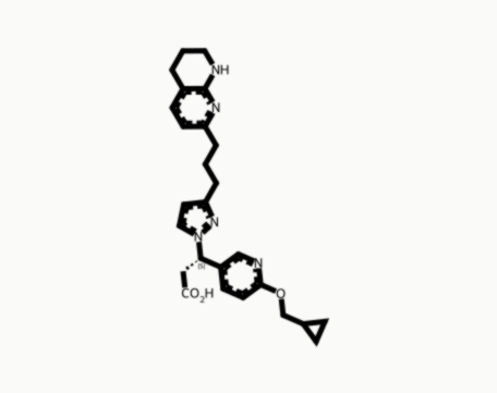 O=C(O)C[C@@H](c1ccc(OCC2CC2)nc1)n1ccc(CCCc2ccc3c(n2)NCCC3)n1